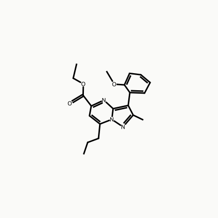 CCCc1cc(C(=O)OCC)nc2c(-c3ccccc3OC)c(C)nn12